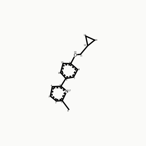 Cc1cccc(-c2ccc(OCC3CC3)cc2)n1